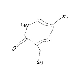 O=c1[nH]cc(Cl)cc1S